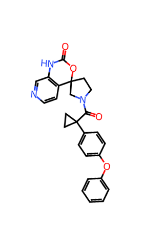 O=C1Nc2cnccc2C2(CCN(C(=O)C3(c4ccc(Oc5ccccc5)cc4)CC3)C2)O1